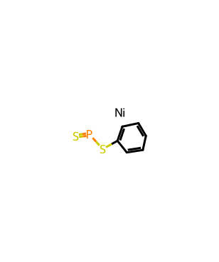 S=PSc1ccccc1.[Ni]